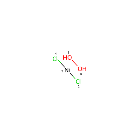 OO.[Cl][Ni][Cl]